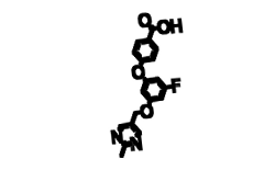 Cc1ncc(COc2cc(F)cc(Oc3ccc(C(=O)O)cc3)c2)cn1